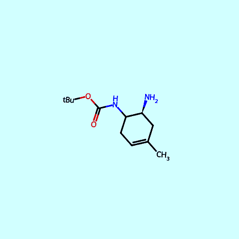 CC1=CCC(NC(=O)OC(C)(C)C)[C@@H](N)C1